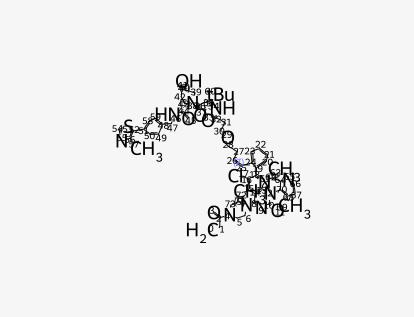 C=CC(=O)N1CCN(c2nc(=O)n3c4c2cc(Cl)c(-c2ccccc2/C=C\CCOCCC(=O)N[C@H](C(=O)N2C[C@H](O)C[C@H]2C(=O)NCc2ccc(-c5scnc5C)cc2)C(C)(C)C)[n+]4C(C)c2nccc(C)c2-3)[C@@H](C)C1